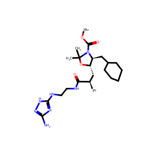 CC(C)[C@H](C[C@@H]1OC(C)(C)N(C(=O)OC(C)(C)C)[C@H]1CC1CCCCC1)C(=O)NCCNc1nc(N)n[nH]1